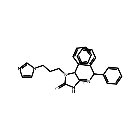 O=C1N/C(=N/C(c2ccccc2)c2ccccc2)C(c2ccccc2)N1CCCn1ccnc1